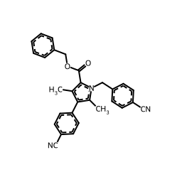 Cc1c(-c2ccc(C#N)cc2)c(C)n(Cc2ccc(C#N)cc2)c1C(=O)OCc1ccccc1